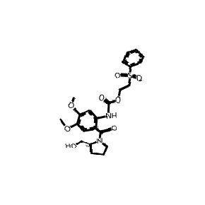 COc1cc(NC(=O)OCCS(=O)(=O)c2ccccc2)c(C(=O)N2CCC[C@H]2CO)cc1OC